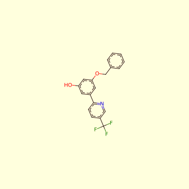 Oc1cc(OCc2ccccc2)cc(-c2ccc(C(F)(F)F)cn2)c1